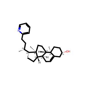 C[C@H](CCc1ccccn1)[C@H]1CC[C@H]2[C@@H]3CC=C4C[C@@H](O)CC[C@]4(C)[C@H]3CC[C@]12C